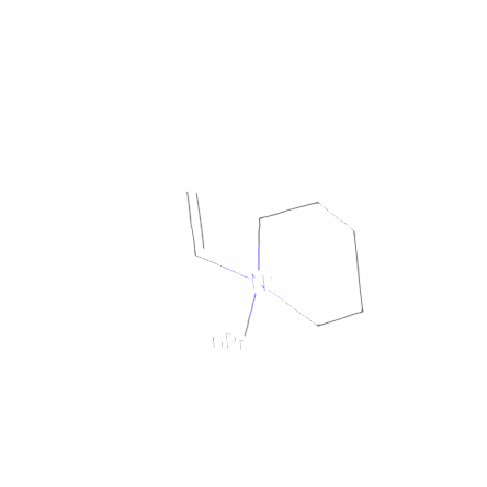 C=C[N+]1(CCC)CCCCC1